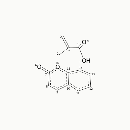 C=C(C)C(=O)O.O=c1ccc2ccccc2o1